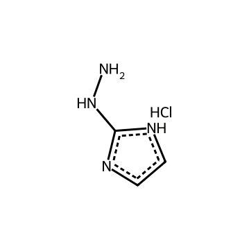 Cl.NNc1ncc[nH]1